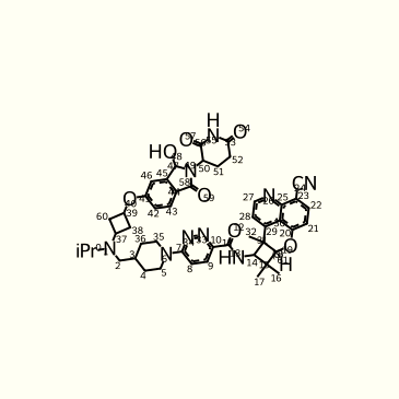 CC(C)N(CC1CCN(c2ccc(C(=O)NC3C(C)(C)[C@@H]4Oc5ccc(C#N)c6nccc(c56)C34C)nn2)CC1)C1CC(Oc2ccc3c(c2)C(O)N(C2CCC(=O)NC2=O)C3=O)C1